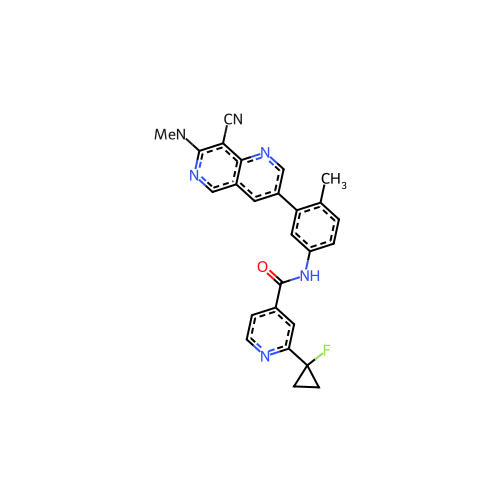 CNc1ncc2cc(-c3cc(NC(=O)c4ccnc(C5(F)CC5)c4)ccc3C)cnc2c1C#N